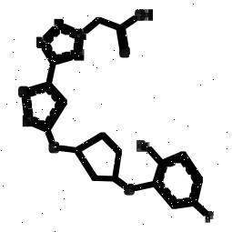 O=C(O)Cn1nnc(-c2cc(OC3CCC(Oc4cc(F)ccc4Br)C3)no2)n1